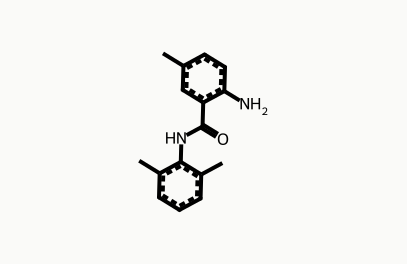 Cc1ccc(N)c(C(=O)Nc2c(C)cccc2C)c1